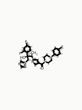 C[C@@H](n1cc(C(=O)N2CCN(c3ccc(F)cc3)CC2)cn1)[C@](O)(Cn1cncn1)c1ccc(F)cc1F